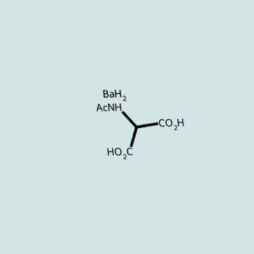 CC(=O)NC(C(=O)O)C(=O)O.[BaH2]